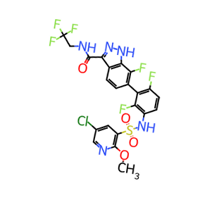 COc1ncc(Cl)cc1S(=O)(=O)Nc1ccc(F)c(-c2ccc3c(C(=O)NCC(F)(F)F)n[nH]c3c2F)c1F